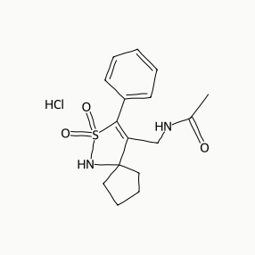 CC(=O)NCC1=C(c2ccccc2)S(=O)(=O)NC12CCCC2.Cl